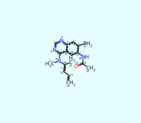 Bc1cc2ncnc(N(C)/C(C)=C/C=C)c2cc1NC(C)=O